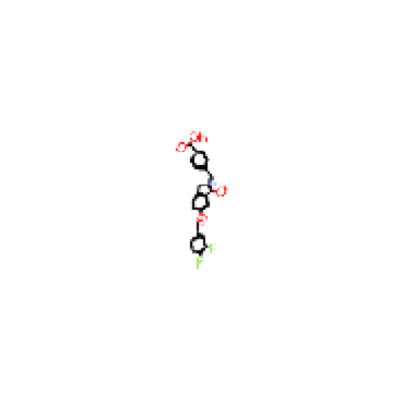 O=C(O)c1ccc(/C=C2\Cc3ccc(OCc4ccc(F)c(F)c4)cc3C2=O)cc1